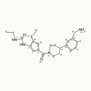 CCNC(=O)Nc1cc(C(=O)N2CCC(c3cccc(CN)c3)CC2)sc1SC